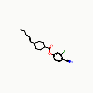 CCCC=CC1CCC(C(=O)Oc2ccc(C#N)c(F)c2)CC1